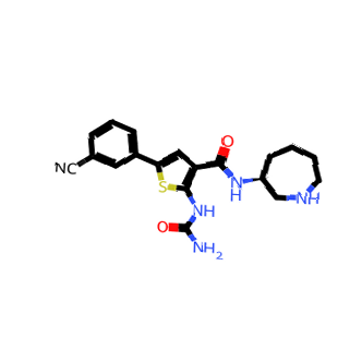 N#Cc1cccc(-c2cc(C(=O)N[C@H]3CCCCNC3)c(NC(N)=O)s2)c1